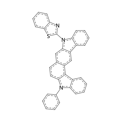 c1ccc(-n2c3ccccc3c3c4cc5c6ccccc6n(-c6nc7ccccc7s6)c5cc4ccc32)cc1